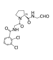 O=CCNC(=O)[C@@H]1CCCN1C(=O)CNC(=O)c1cccc(Cl)c1Cl